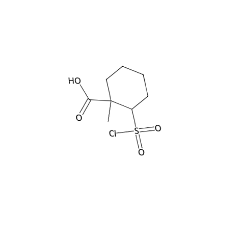 CC1(C(=O)O)CCCCC1S(=O)(=O)Cl